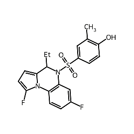 CCC1c2ccc(F)n2-c2ccc(F)cc2N1S(=O)(=O)c1ccc(O)c(C)c1